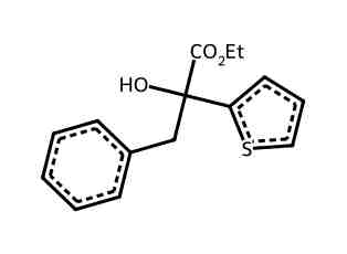 CCOC(=O)C(O)(Cc1ccccc1)c1cccs1